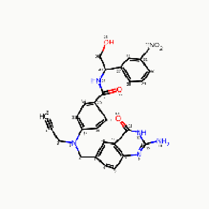 C#CCN(Cc1ccc2nc(N)[nH]c(=O)c2c1)c1ccc(C(=O)NC(CO)c2cccc([N+](=O)[O-])c2)cc1